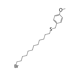 COc1ccc(CSCCCCCCCCCCCCBr)cc1